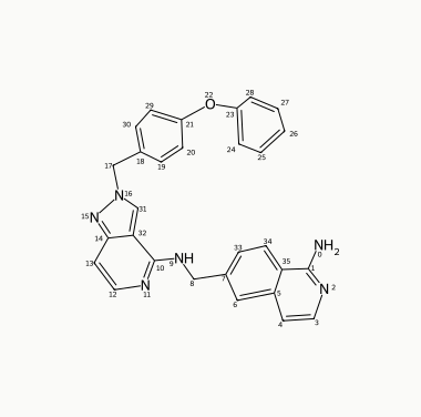 Nc1nccc2cc(CNc3nccc4nn(Cc5ccc(Oc6ccccc6)cc5)cc34)ccc12